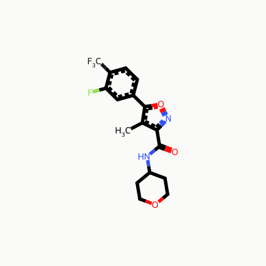 Cc1c(C(=O)NC2CCOCC2)noc1-c1ccc(C(F)(F)F)c(F)c1